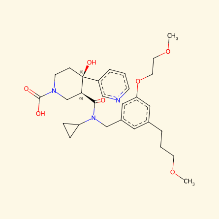 COCCCc1cc(CN(C(=O)[C@H]2CN(C(=O)O)CC[C@]2(O)c2cccnc2)C2CC2)cc(OCCOC)c1